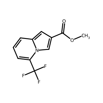 COC(=O)c1cc2cccc(C(F)(F)F)n2c1